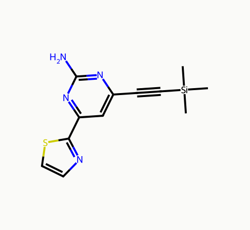 C[Si](C)(C)C#Cc1cc(-c2nccs2)nc(N)n1